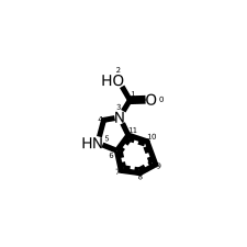 O=C(O)N1CNc2ccccc21